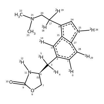 [2H]c1c(C([2H])([2H])[C@H]2COC(=O)N2[2H])c([2H])c2c(C([2H])([2H])CN(C)C)cn([2H])c2c1[2H]